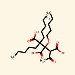 CCCCCOC(C(=O)O)(C(C(C)=O)C(=O)O)C(CCCCC)(CCCCC)C(=O)O